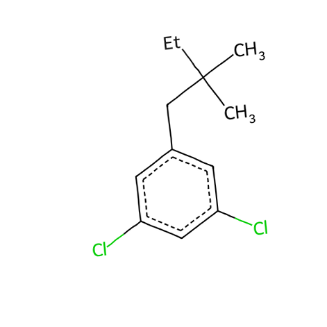 CCC(C)(C)Cc1cc(Cl)cc(Cl)c1